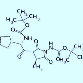 C[C@@H]1C(=O)N(NC(=O)OC(C)(C)C)C(=O)[C@H]1C(=O)[C@@H](NC(=O)OC(C)(C)C)C1CCCC1